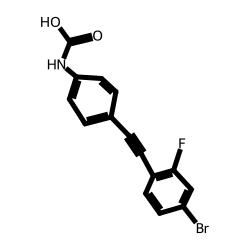 O=C(O)Nc1ccc(C#Cc2ccc(Br)cc2F)cc1